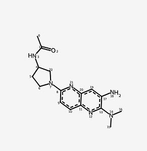 CC(=O)NC1CCN(c2ccc3nc(N(C)C)c(N)cc3n2)C1